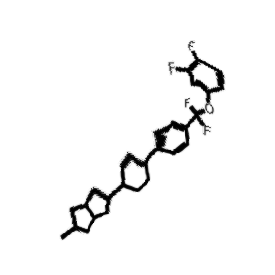 CC1CC2CC(C3CCC(c4ccc(C(F)(F)Oc5ccc(F)c(F)c5)cc4)CC3)CC2C1